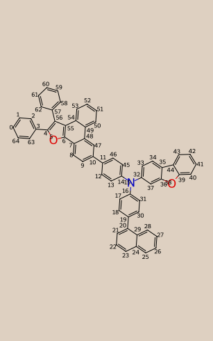 c1ccc(-c2oc3c4ccc(-c5ccc(N(c6ccc(-c7cccc8ccccc78)cc6)c6ccc7c(c6)oc6ccccc67)cc5)cc4c4ccccc4c3c2-c2ccccc2)cc1